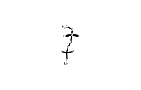 COS(=O)(=O)OOC(F)(F)F.[LiH]